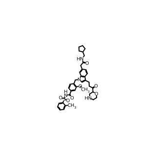 COc1cc(C(=O)NS(=O)(=O)c2ccccc2C)ccc1Cn1cc(CCC(=O)C2CNCCO2)c2ccc(CC(=O)NCC3CCCC3)cc21